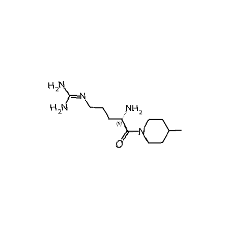 CC1CCN(C(=O)[C@@H](N)CCCN=C(N)N)CC1